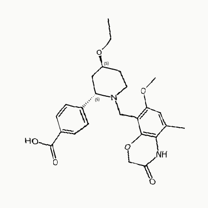 CCO[C@H]1CCN(Cc2c(OC)cc(C)c3c2OCC(=O)N3)[C@H](c2ccc(C(=O)O)cc2)C1